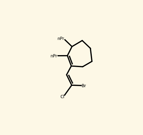 CCCC1=C(C=C(Cl)Br)CCCCC1CCC